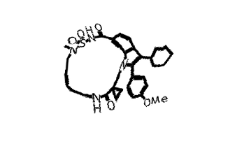 COc1ccc(-c2c(C3CCCCC3)c3ccc4cc3n2CC2(CC2)C(=O)NCCC=CCN(C)S(=O)(=O)NC4=O)cc1